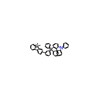 C[Si]1(C)c2ccccc2-c2ccc(-c3cccc([Si](c4ccccc4)(c4ccccc4)c4cccc5c4c4ccccc4n5-c4ccccc4)c3)cc21